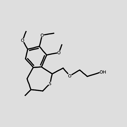 COc1cc2c(c(OC)c1OC)C(COCCO)SCC(C)C2